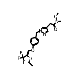 CCO/C(=C\Oc1ccc(Cn2cc(CC(=O)N(C)OC)cn2)cc1)C(F)(F)F